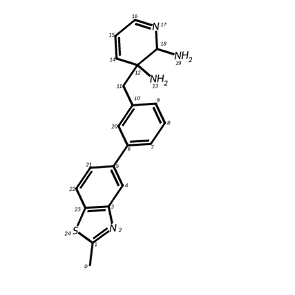 Cc1nc2cc(-c3cccc(CC4(N)C=CC=NC4N)c3)ccc2s1